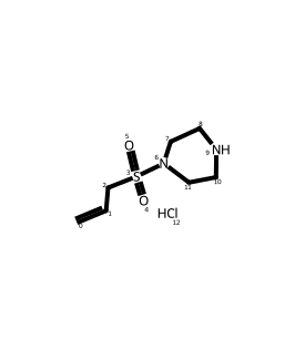 C=CCS(=O)(=O)N1CCNCC1.Cl